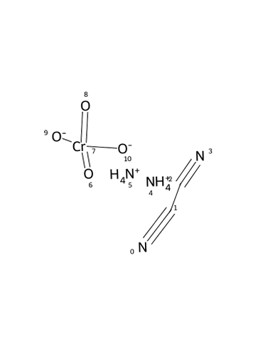 N#CC#N.[NH4+].[NH4+].[O]=[Cr](=[O])([O-])[O-]